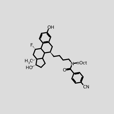 CCCCCCCCN(CCCC[C@@H]1Cc2cc(O)ccc2C2C1C1CC[C@H](O)[C@@]1(C)C[C@@H]2F)C(=O)c1ccc(C#N)cc1